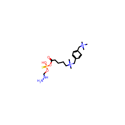 C[N+](C)(C)Cc1ccc(C[N+](C)(C)CCCCC(=O)OP(O)(=S)OCNN)cc1